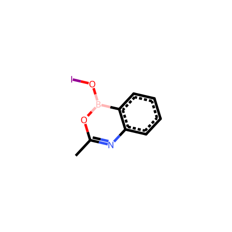 CC1=Nc2ccccc2B(OI)O1